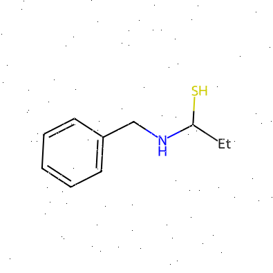 CCC(S)NCc1ccccc1